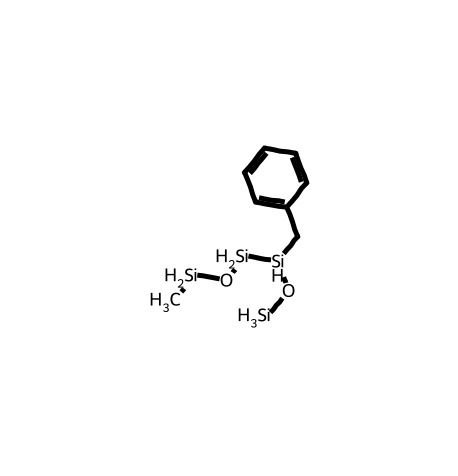 C[SiH2]O[SiH2][SiH](Cc1ccccc1)O[SiH3]